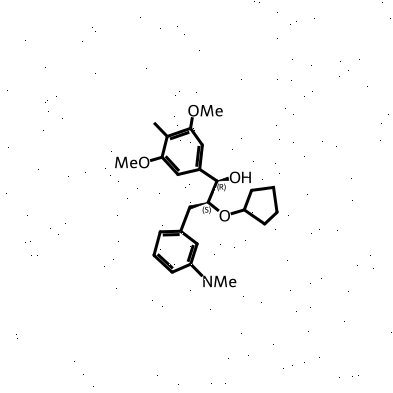 CNc1cccc(C[C@H](OC2CCCC2)[C@H](O)c2cc(OC)c(C)c(OC)c2)c1